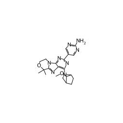 COC1C2CCC1N(c1nc(-c3cnc(N)nc3)nc3c1nc1n3CCOC1(C)C)C2